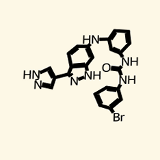 O=C(Nc1cccc(Br)c1)Nc1cccc(Nc2ccc3c(-c4cn[nH]c4)n[nH]c3c2)c1